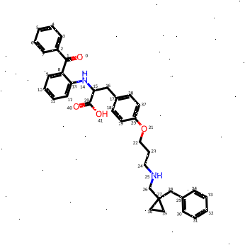 O=C(c1ccccc1)c1ccccc1NC(Cc1ccc(OCCCNCC2(Cc3ccccc3)CC2)cc1)C(=O)O